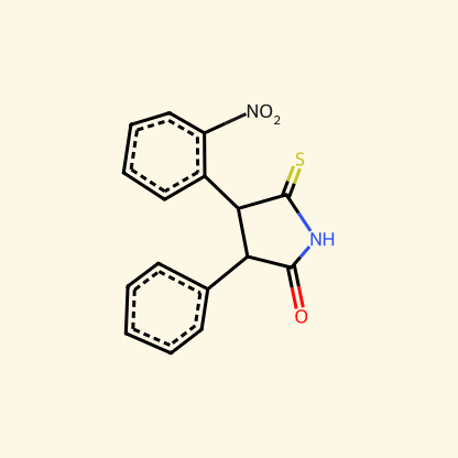 O=C1NC(=S)C(c2ccccc2[N+](=O)[O-])C1c1ccccc1